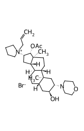 C=CC[N+]1([C@H]2C[C@H]3[C@@H]4CC[C@H]5C[C@H](O)[C@@H](N6CCOCC6)C[C@]5(C)[C@H]4CC[C@]3(C)[C@H]2OC(C)=O)CCCC1.[Br-]